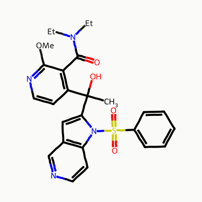 CCN(CC)C(=O)c1c(C(C)(O)c2cc3cnccc3n2S(=O)(=O)c2ccccc2)ccnc1OC